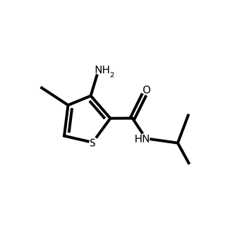 Cc1csc(C(=O)NC(C)C)c1N